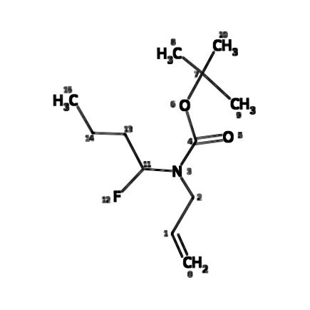 C=CCN(C(=O)OC(C)(C)C)C(F)CCC